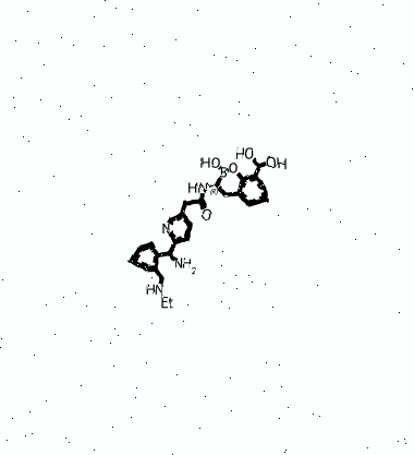 CCNCc1ccccc1C(N)c1ccc(CC(=O)N[C@H]2Cc3cccc(C(O)O)c3OB2O)cn1